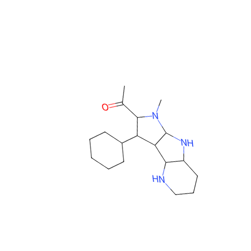 CC(=O)C1C(C2CCCCC2)C2C3NCCCC3NC2N1C